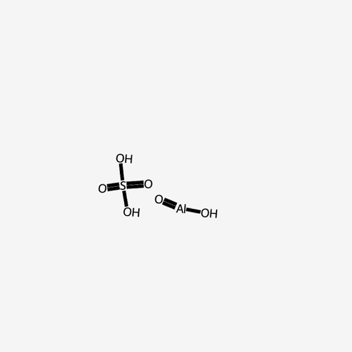 O=S(=O)(O)O.[O]=[Al][OH]